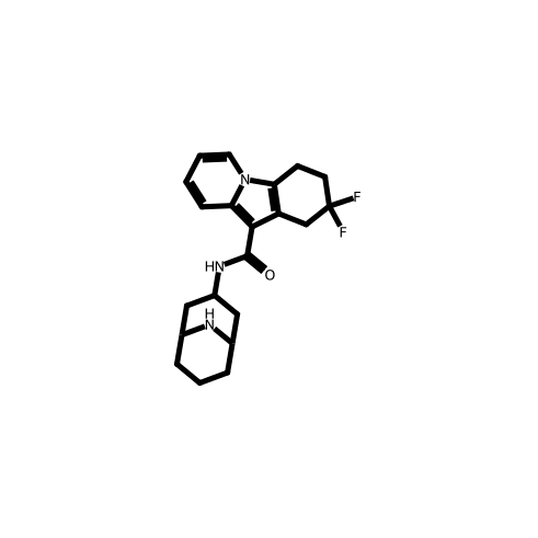 O=C(NC1CC2CCCC(C1)N2)c1c2c(n3ccccc13)CCC(F)(F)C2